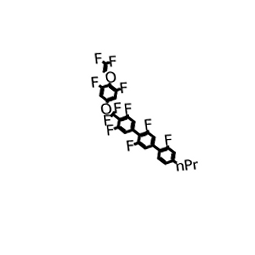 CCCc1ccc(-c2cc(F)c(-c3cc(F)c(C(F)(F)Oc4cc(F)c(OC=C(F)F)c(F)c4)c(F)c3)c(F)c2)c(F)c1